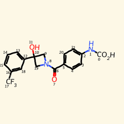 O=C(O)Nc1ccc(C(=O)N2CC(O)(c3cccc(C(F)(F)F)c3)C2)cc1